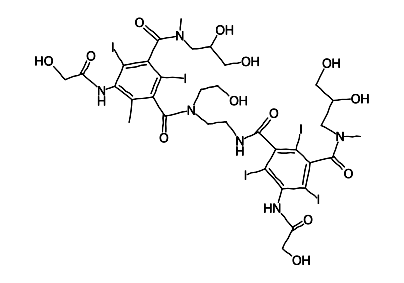 Cc1c(NC(=O)CO)c(I)c(C(=O)N(C)CC(O)CO)c(I)c1C(=O)N(CCO)CCNC(=O)c1c(I)c(NC(=O)CO)c(I)c(C(=O)N(C)CC(O)CO)c1I